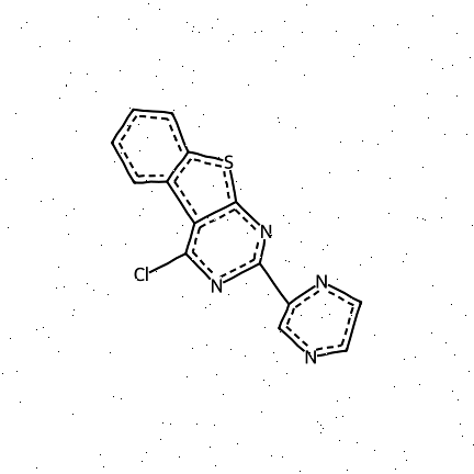 Clc1nc(-c2cnccn2)nc2sc3ccccc3c12